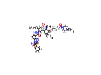 COc1cc(C(=O)N(C)c2ccc(C)cc2OCCCCCC(=O)N2CCN(C)CC2)ccc1NC(=O)c1cccc2c1ncn2NS(=O)(=O)c1ccccc1